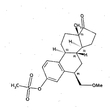 COC[C@@H]1C[C@@H]2[C@H](CC[C@]3(C)C(=O)CC[C@@H]23)c2ccc(OS(C)(=O)=O)cc21